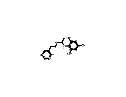 CC(NCCc1cncnc1)Oc1c(Cl)cc(Cl)cc1Cl